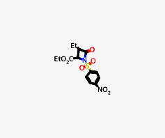 CCOC(=O)C1C(CC)C(=O)N1S(=O)(=O)c1ccc([N+](=O)[O-])cc1